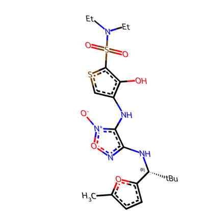 CCN(CC)S(=O)(=O)c1scc(Nc2c(N[C@@H](c3ccc(C)o3)C(C)(C)C)no[n+]2[O-])c1O